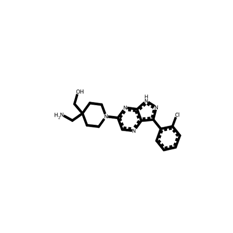 NCC1(CO)CCN(c2cnc3c(-c4ccccc4Cl)n[nH]c3n2)CC1